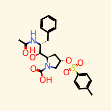 CC(=O)N[C@H](Cc1ccccc1)[C@H](O)[C@H]1C[C@H](OS(=O)(=O)c2ccc(C)cc2)CN1C(=O)O